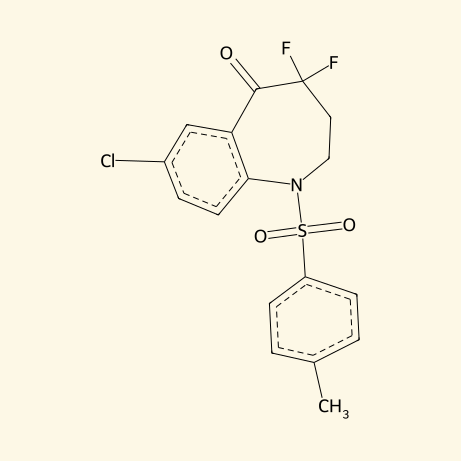 Cc1ccc(S(=O)(=O)N2CCC(F)(F)C(=O)c3cc(Cl)ccc32)cc1